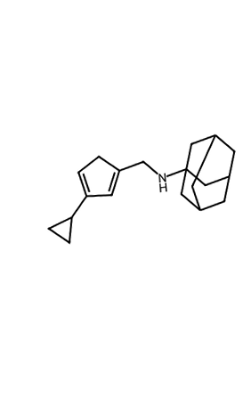 C1=C(CNC23CC4CC(CC(C4)C2)C3)CC=C1C1CC1